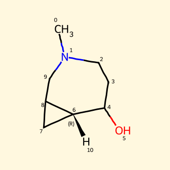 CN1CCC(O)[C@@H]2CC2C1